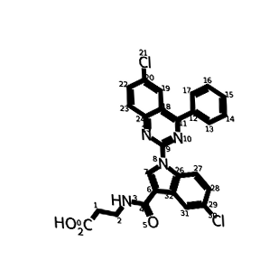 O=C(O)CCNC(=O)c1cn(-c2nc(-c3ccccc3)c3cc(Cl)ccc3n2)c2ccc(Cl)cc12